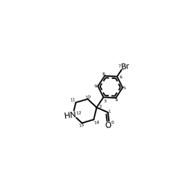 O=CC1(c2ccc(Br)cc2)CCNCC1